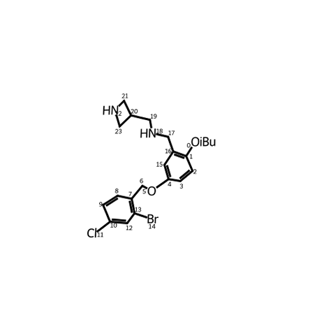 CC(C)COc1ccc(OCc2ccc(Cl)cc2Br)cc1CNCC1CNC1